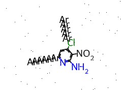 Nc1nccc(Cl)c1[N+](=O)[O-].[Ar].[Ar].[Ar].[Ar].[Ar].[Ar].[Ar].[Ar].[Ar].[Ar].[Ar]